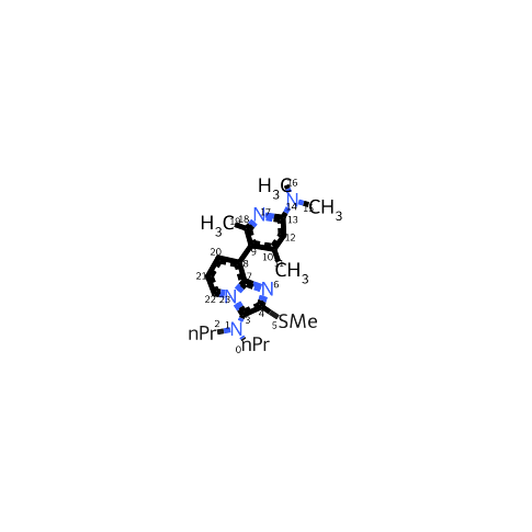 CCCN(CCC)c1c(SC)nc2c(-c3c(C)cc(N(C)C)nc3C)cccn12